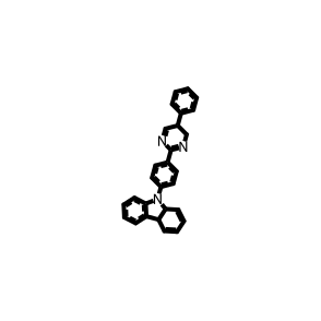 C1=CC2c3ccccc3N(c3ccc(C4=NCC(c5ccccc5)C=N4)cc3)C2C=C1